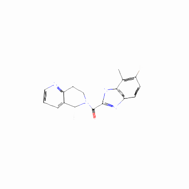 Cc1c(Br)ccc2nc(C(=O)N3CCc4ncccc4[C@H]3C)[nH]c12